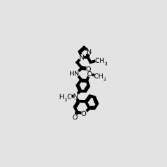 CCc1nccn1CC(=O)Nc1cc(N(C)c2cc(=O)oc3ccccc23)ccc1OC